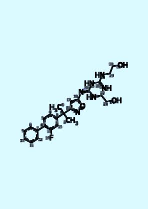 CC(C)(c1ccc(-c2ccccc2)c(F)c1)c1cc(/N=C(\NCCO)NC(=N)NCCO)on1